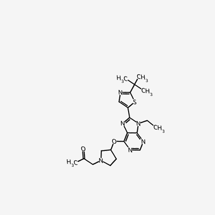 CCn1c(-c2cnc(C(C)(C)C)s2)nc2c(OC3CCN(CC(C)=O)C3)ncnc21